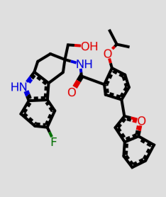 CC(C)Oc1ccc(-c2cc3ccccc3o2)cc1C(=O)NC1(CO)CCc2[nH]c3ccc(F)cc3c2C1